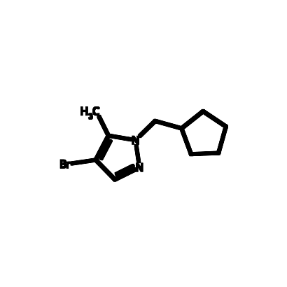 Cc1c(Br)cnn1CC1CCCC1